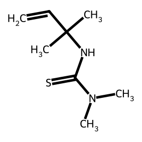 C=CC(C)(C)NC(=S)N(C)C